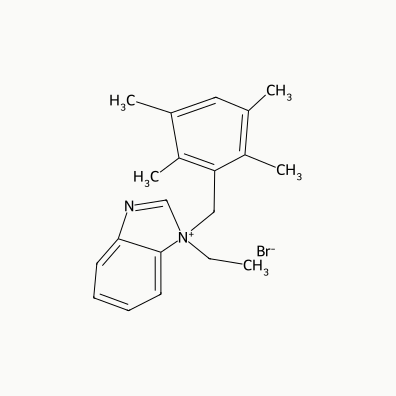 CC[N+]1(Cc2c(C)c(C)cc(C)c2C)C=Nc2ccccc21.[Br-]